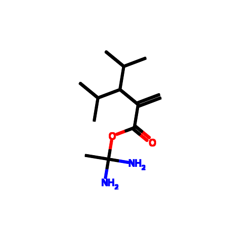 C=C(C(=O)OC(C)(N)N)C(C(C)C)C(C)C